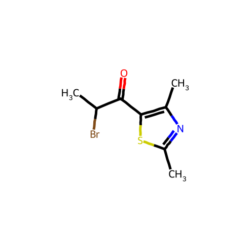 Cc1nc(C)c(C(=O)C(C)Br)s1